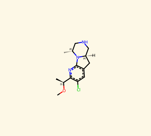 CO[C@@H](C)c1nc2c(cc1Cl)C[C@@H]1CNC[C@@H](C)N21